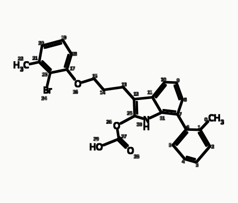 Cc1ccccc1-c1cccc2c(CCCOc3cccc(C)c3Br)c(OC(=O)O)[nH]c12